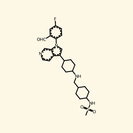 CS(=O)(=O)NC1CCC(CNC2CCC(c3cn(-c4ccc(F)cc4C=O)c4cnccc34)CC2)CC1